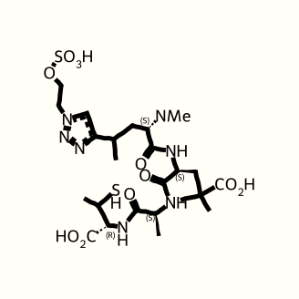 CN[C@@H](CC(C)c1cn(CCOS(=O)(=O)O)nn1)C(=O)N[C@@H](CC(C)(C)C(=O)O)C(=O)N[C@@H](C)C(=O)N[C@H](C(=O)O)C(C)S